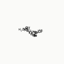 CNC[C@@H]1CN(c2ccc3c(c2)Cn2cc(-c4ccc(F)cc4)cc2-c2nccn2-3)C[C@H]1O